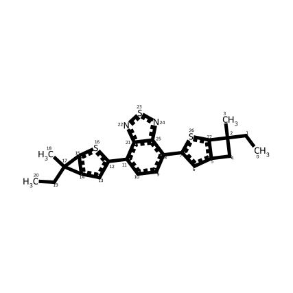 CCC1(C)Cc2cc(-c3ccc(-c4cc5c(s4)C5(C)CC)c4nsnc34)sc21